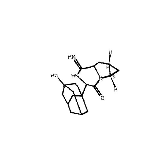 N=C1NC(C23CC4CC(CC(O)(C4)C2)C3)C(=O)N2C1C[C@@H]1C[C@@H]12